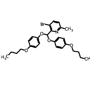 CCCCOc1ccc(OC(Oc2ccc(OCCCC)cc2)c2nc(C)ccc2Br)cc1